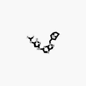 FC(F)Oc1cc(Nc2cnc3cnn(CC4CC5CCC(C4)O5)c3n2)n[nH]1